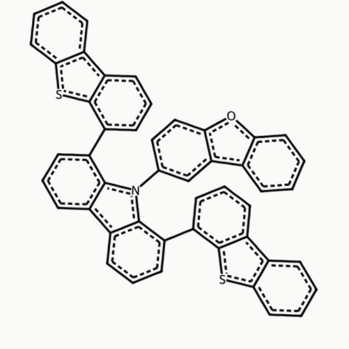 c1ccc2c(c1)oc1ccc(-n3c4c(-c5cccc6c5sc5ccccc56)cccc4c4cccc(-c5cccc6c5sc5ccccc56)c43)cc12